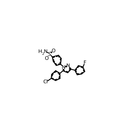 NS(=O)(=O)c1ccc(-n2nc(-c3cccc(F)c3)cc2-c2ccc(Cl)cc2)cc1